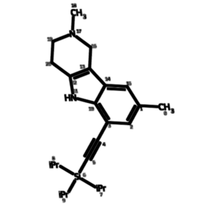 Cc1cc(C#C[Si](C(C)C)(C(C)C)C(C)C)c2[nH]c3c(c2c1)CN(C)CC3